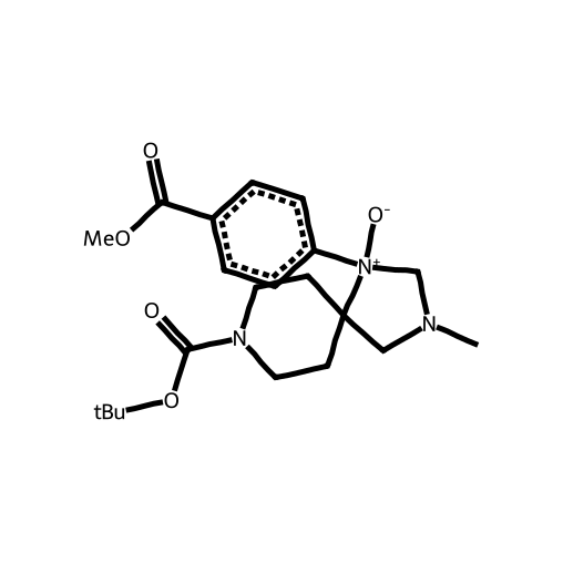 COC(=O)c1ccc([N+]2([O-])CN(C)CC23CCN(C(=O)OC(C)(C)C)CC3)cc1